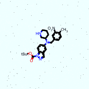 Cc1ccc(CN(c2ccc3c(cnn3C(=O)OC(C)(C)C)c2)C2CCCNC2)cc1[N+](=O)[O-]